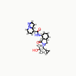 CC(C)(O)[C@@H](C1CC1)N1Cc2cccc(NC(=O)c3cccn4nccc34)c2C1=O